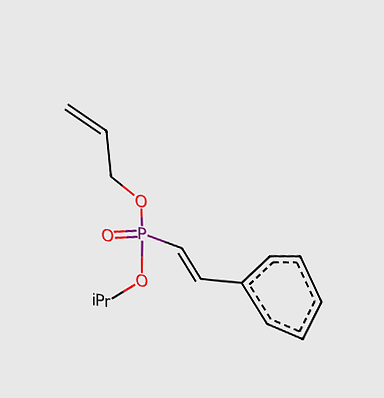 C=CCOP(=O)(C=Cc1ccccc1)OC(C)C